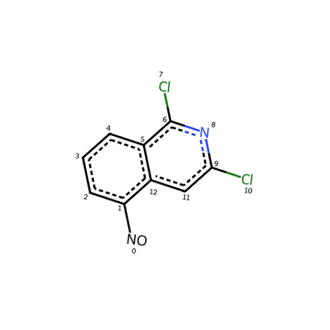 O=Nc1cccc2c(Cl)nc(Cl)cc12